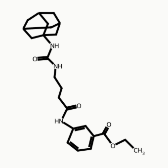 CCOC(=O)c1cccc(NC(=O)CCCNC(=O)NC23CC4CC(CC(C4)C2)C3)c1